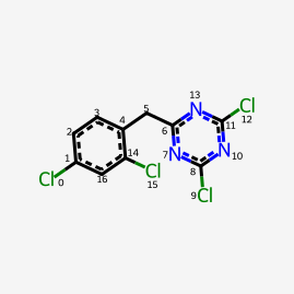 Clc1ccc(Cc2nc(Cl)nc(Cl)n2)c(Cl)c1